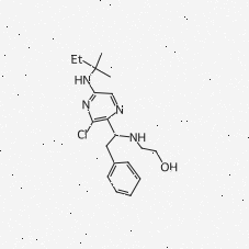 CCC(C)(C)Nc1cnc(C(Cc2ccccc2)NCCO)c(Cl)n1